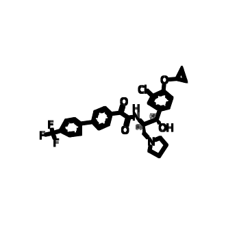 O=C(N[C@H](CN1CCCC1)[C@H](O)c1ccc(OC2CC2)c(Cl)c1)C(=O)c1ccc(-c2ccc(C(F)(F)F)cc2)cc1